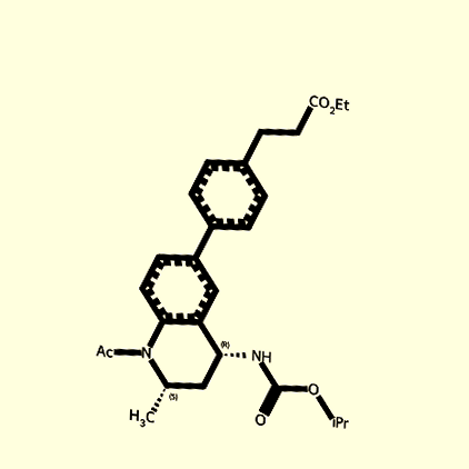 CCOC(=O)CCc1ccc(-c2ccc3c(c2)[C@H](NC(=O)OC(C)C)C[C@H](C)N3C(C)=O)cc1